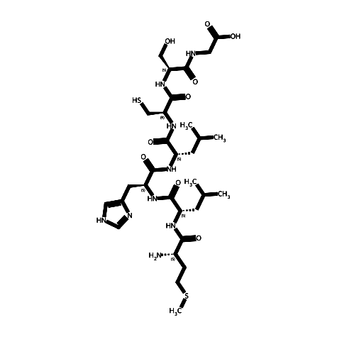 CSCC[C@H](N)C(=O)N[C@@H](CC(C)C)C(=O)N[C@@H](Cc1c[nH]cn1)C(=O)N[C@@H](CC(C)C)C(=O)N[C@@H](CS)C(=O)N[C@@H](CO)C(=O)NCC(=O)O